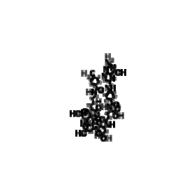 Cc1ccc(C(=O)NCCCCC(NC(=O)C(CC(=O)O)NC(=O)C(CC(=O)O)NC(=O)C(CC(=O)O)NC(=O)CCC(NC(=O)c2ccc(NCc3cnc4nc(N)nc(O)c4n3)cc2)C(=O)O)C(=O)O)cc1